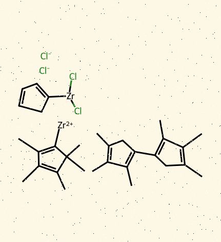 CC1=C(C)C(C)(C)[C]([Zr+2])=C1C.CC1=C(C)C(C)=C(C2=C(C)C(C)=C(C)C2)C1.[Cl-].[Cl-].[Cl][Zr]([Cl])[C]1=CC=CC1